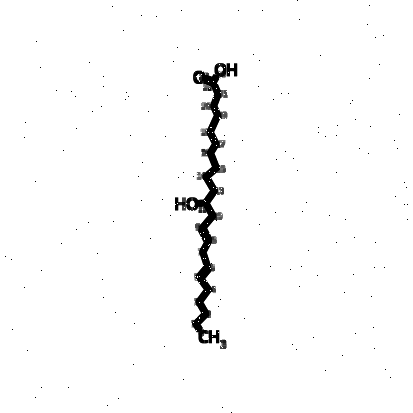 CCCCCC=CCC=CCC(O)CCCCCCCCCC(=O)O